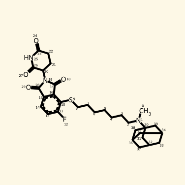 CN(CCCCCCCSc1c(F)ccc2c1C(=O)N(C1CCC(=O)NC1=O)C2=O)C12CC3CC(CC(C3)C1)C2